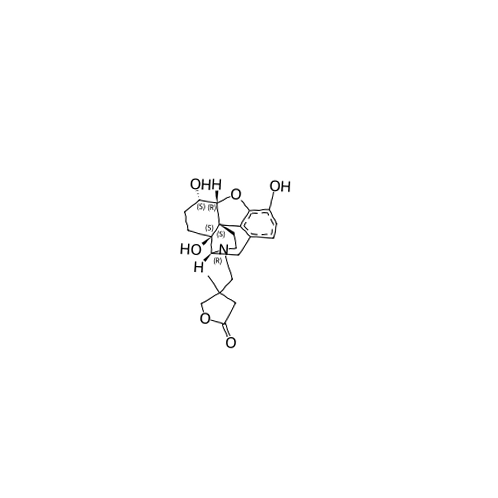 CC1(CN2CC[C@]34c5c6ccc(O)c5O[C@H]3[C@@H](O)CC[C@@]4(O)[C@H]2C6)COC(=O)C1